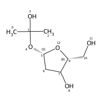 CC(C)(O)O[C@H]1CC(O)[C@@H](CO)O1